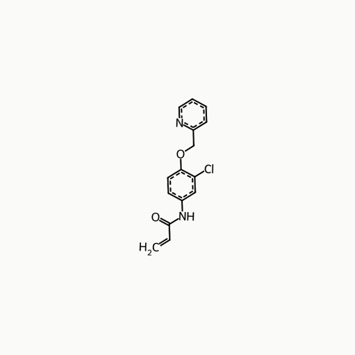 C=CC(=O)Nc1ccc(OCc2ccccn2)c(Cl)c1